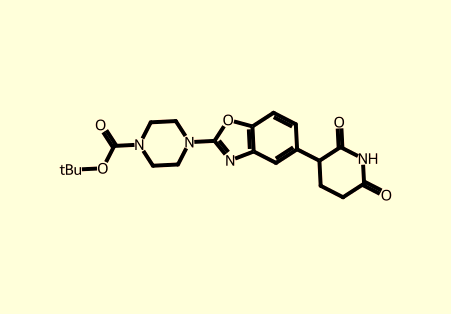 CC(C)(C)OC(=O)N1CCN(c2nc3cc(C4CCC(=O)NC4=O)ccc3o2)CC1